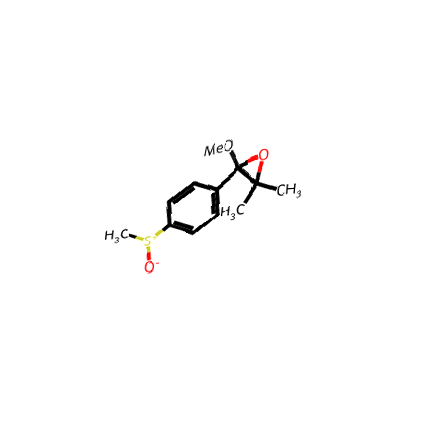 COC1(c2ccc([S+](C)[O-])cc2)OC1(C)C